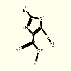 CCSc1sc(CC)nc1C(=O)OBr